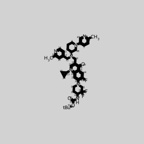 Cc1ccc(N2CCC[C@H](N(Cc3ccnc(C)c3)Cc3cn(C4CC4)c4cc(N5CCC(NC(=O)OC(C)(C)C)C(F)(F)C5)c(F)cc4c3=O)C2)cn1